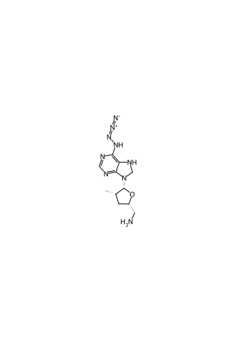 C[C@H]1C[C@@H](CN)O[C@H]1N1CNc2c(NN=[N+]=[N-])ncnc21